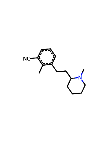 Cc1c(C#N)cccc1CCC1CCCCN1C